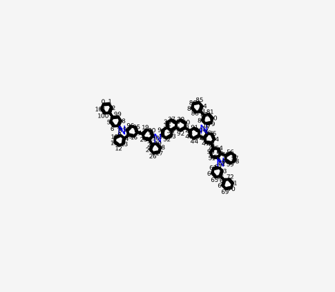 c1ccc(-c2ccc(-n3c4ccccc4c4cc(-c5ccc6c(c5)c5ccccc5n6-c5ccc6c(ccc7ccc(-c8ccc9c%10cc(-c%11ccc%12c(c%11)c%11ccccc%11n%12-c%11cccc(-c%12ccccc%12)c%11)ccc%10n(-c%10cccc(-c%11ccccc%11)c%10)c9c8)cc76)c5)ccc43)cc2)cc1